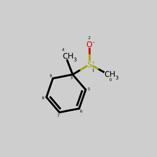 C[S+]([O-])C1(C)C=CC=CC1